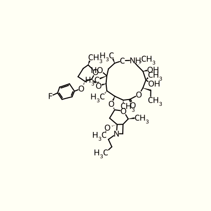 CCCN1CC2[C@H](C)O[C@@H](O[C@H]3[C@H](C)[C@@H](O[C@@H]4O[C@H](C)CC[C@H]4Oc4ccc(F)cc4)[C@](C)(O)C[C@@H](C)CN[C@H](C)[C@@H](O)[C@](C)(O)[C@@H](CC)OC(=O)[C@@H]3C)C[C@@]21OC